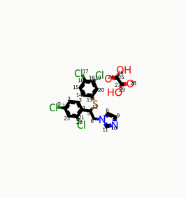 Clc1ccc(C(Cn2ccnc2)Sc2ccc(Cl)c(Cl)c2)c(Cl)c1.O=C(O)C(=O)O